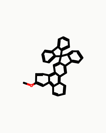 COc1ccc2c(c1)c1ccccc1c1cc3c(cc21)C1(c2ccccc2-c2ccccc21)c1ccccc1-3